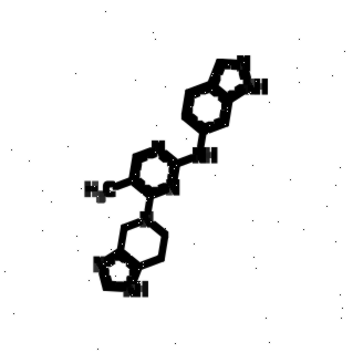 Cc1cnc(Nc2ccc3cn[nH]c3c2)nc1N1CCc2[nH]cnc2C1